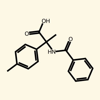 Cc1ccc(C(C)(NC(=O)c2ccccc2)C(=O)O)cc1